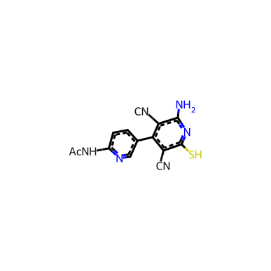 [C-]#[N+]c1c(N)nc(S)c(C#N)c1-c1ccc(NC(C)=O)nc1